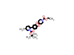 CCOC(=O)N1CCC2(CC1)Oc1ccc(C3=CC[C@H](C)CN3C(=O)OC(C)(C)C)cc1O2